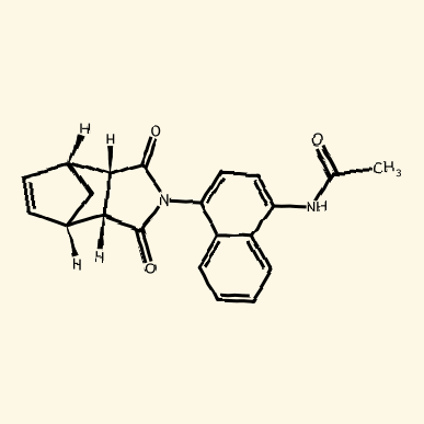 CC(=O)Nc1ccc(N2C(=O)[C@@H]3[C@H](C2=O)[C@@H]2C=C[C@H]3C2)c2ccccc12